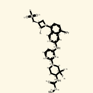 CC(C)c1ccc(N2C[C@H](CS(C)(=O)=O)[C@H]2C)c2cnc(Nc3ccnc(N4CCC(NC(=O)OC(C)(C)C)C(F)(F)C4)n3)cc12